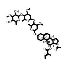 C/C=C(\C)C(=O)O[C@@H]1C[C@H]2[C@@H](CC=C3C[C@@H](OC4CC(OC)C(OC5CC(OC)C(OC6OC(C)C(O)C(OC)C6O)C(C)O5)C(C)O4)CC[C@@]32C)[C@@]2(O)CC[C@H](C(C)=O)[C@@]12C